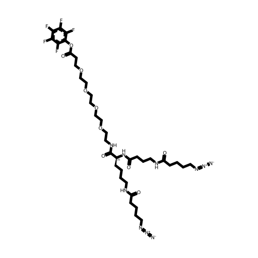 [N-]=[N+]=NCCCCC(=O)NCCCC[C@H](NC(=O)CCCNC(=O)CCCCN=[N+]=[N-])C(=O)NCCOCCOCCOCCOCCC(=O)Oc1c(F)c(F)c(F)c(F)c1F